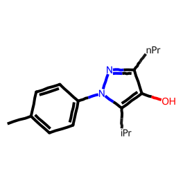 CCCc1nn(-c2ccc(C)cc2)c(C(C)C)c1O